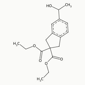 CCOC(=O)C1(C(=O)OCC)Cc2ccc(C(C)O)cc2C1